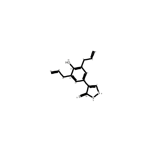 C=CCc1cc(-c2cssc2=S)cc(CC=C)c1O